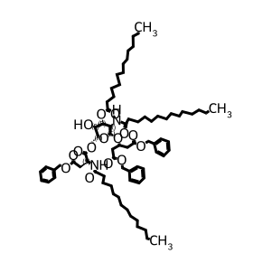 CCCCCCCCCCCCCC(=O)N[C@H]1[C@@H](OC(CC(=O)OCc2ccccc2)CC(=O)OCc2ccccc2)O[C@H](COC(=O)[C@H](CC(=O)OCc2ccccc2)NC(=O)CCCCCCCCCCCCC)[C@@H](O)[C@@H]1OC(=O)CCCCCCCCCCCCC